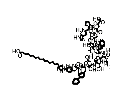 C[C@@H](O)[C@H](NC(=O)CNC(=O)[C@H](CCC(=O)O)NC(=O)[C@@H]1CCCN1C(=O)[C@@H](N)Cc1c[nH]cn1)C(=O)NC(C)(Cc1ccccc1F)C(=O)N[C@H](C(=O)N[C@@H](CO)C(=O)N[C@@H](CC(=O)O)C(=O)N[C@@H](Cc1ccc(-c2ccccc2)cc1)C(=O)N[C@@H](Cc1ccc(-n2cc(CCCCCCCCCCCCCCCC(=O)O)nn2)cc1)C(N)=O)[C@@H](C)O